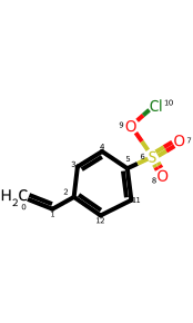 C=Cc1ccc(S(=O)(=O)OCl)cc1